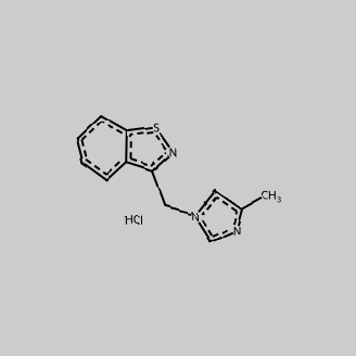 Cc1cn(Cc2nsc3ccccc23)cn1.Cl